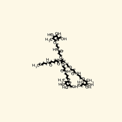 COCCCNC(=O)CCCC(=O)NC(COCCOCCC(=O)NCCCO[C@@H]1OC(CO)C(O)[C@H](O)C1C)(COCCC(=O)NCCCO[C@@H]1OC(CO)C(O)[C@H](O)C1C)COCCC(=O)NCCCO[C@@H]1OC(CO)C(O)[C@H](O)C1C